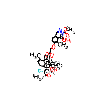 C=C[C@]1(C)C[C@@H](OC(=O)COc2ccc3c(c2C)B(O)N(C(=O)OC)N=C3)[C@]2(C)[C@H](C)CC[C@@](C[C@H](F)C(C)=O)([C@H]2C)[C@@H](C)[C@@H]1O